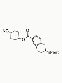 CCCCCC1CCc2cc(C(=O)OC3CCC(C#N)CC3)ccc2C1